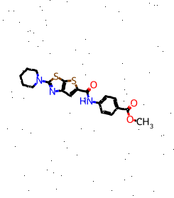 COC(=O)c1ccc(NC(=O)c2cc3nc(N4CCCCC4)sc3s2)cc1